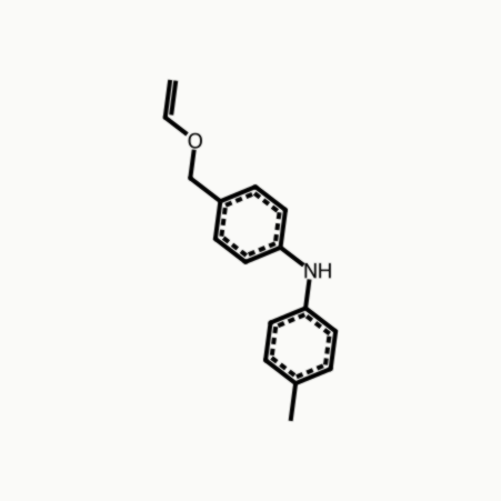 C=COCc1ccc(Nc2ccc(C)cc2)cc1